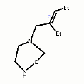 CC/C=C(\CC)CN1CCNCC1